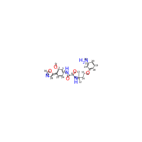 COc1cc(NC(=O)C(=O)NC(C)(C)CCOc2cccc(N)c2)ccc1-c1cnco1